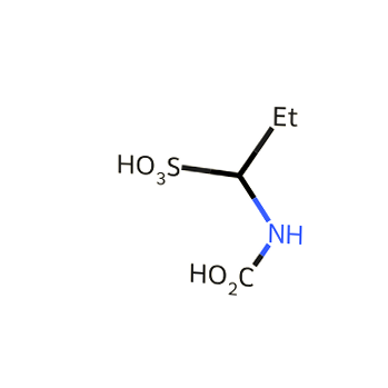 CCC(NC(=O)O)S(=O)(=O)O